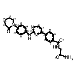 NC(=O)CNC(=O)c1ccc(-c2ccnc(Nc3ccc(N4CCOCC4=O)cc3)n2)cc1